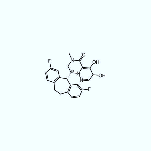 CN1C[C@@H](C2c3cc(F)ccc3CCc3ccc(F)cc32)N2N=CC(O)C(O)=C2C1=O